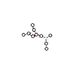 c1ccc(-c2ccc(-c3nc(-c4ccccc4)nc(-c4ccc5c(c4)oc4ccc(-c6cc7oc8ccccc8c7cc6-n6c7ccccc7c7cc(-c8ccccc8)ccc76)cc45)n3)cc2)cc1